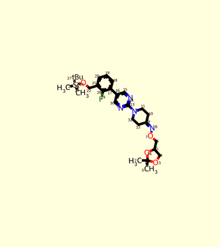 CC1(C)OCC(CON=C2CCN(c3ncc(-c4cccc(CO[Si](C)(C)C(C)(C)C)c4F)cn3)CC2)O1